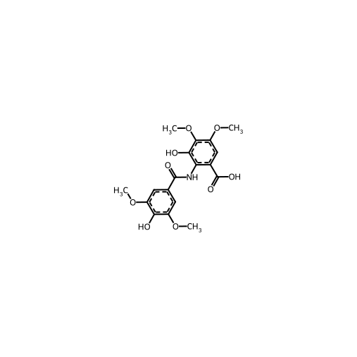 COc1cc(C(=O)Nc2c(C(=O)O)cc(OC)c(OC)c2O)cc(OC)c1O